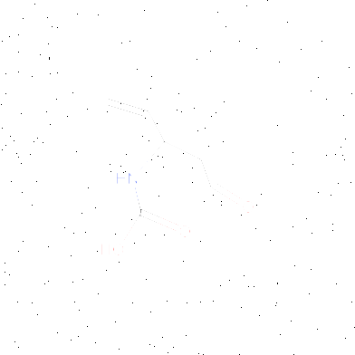 C=CC(CC=O)NC(=O)O